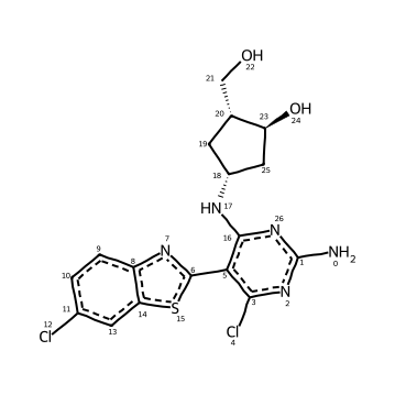 Nc1nc(Cl)c(-c2nc3ccc(Cl)cc3s2)c(N[C@@H]2C[C@H](CO)[C@@H](O)C2)n1